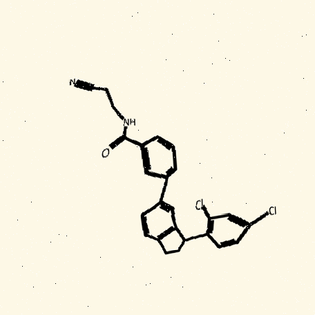 N#CCCNC(=O)c1cccc(-c2ccc3c(c2)C(c2ccc(Cl)cc2Cl)CC3)c1